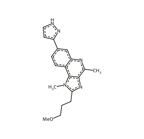 COCCCc1nc2c(C)nc3cc(-c4cc[nH]n4)ccc3c2n1C